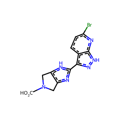 O=C(O)N1Cc2nc(-c3n[nH]c4nc(Br)ccc34)[nH]c2C1